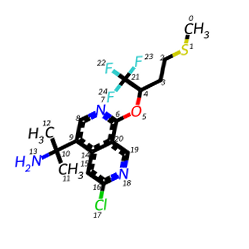 CSCCC(Oc1ncc(C(C)(C)N)c2cc(Cl)ncc12)C(F)(F)F